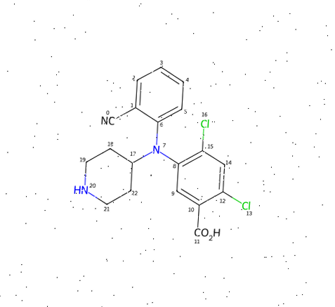 N#Cc1ccccc1N(c1cc(C(=O)O)c(Cl)cc1Cl)C1CCNCC1